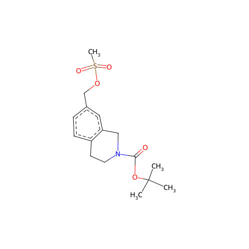 CC(C)(C)OC(=O)N1CCc2ccc(COS(C)(=O)=O)cc2C1